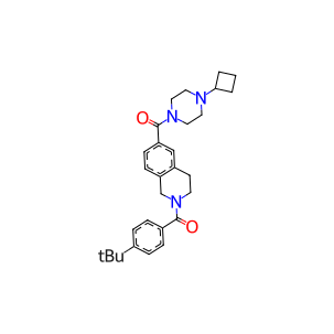 CC(C)(C)c1ccc(C(=O)N2CCc3cc(C(=O)N4CCN(C5CCC5)CC4)ccc3C2)cc1